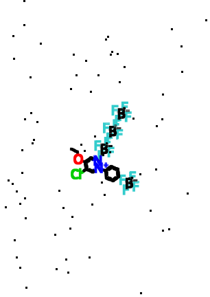 CCOc1cn[n+](-c2ccccc2)cc1Cl.F[B-](F)(F)F.F[B-](F)(F)F.F[B-](F)(F)F.F[B-](F)(F)F